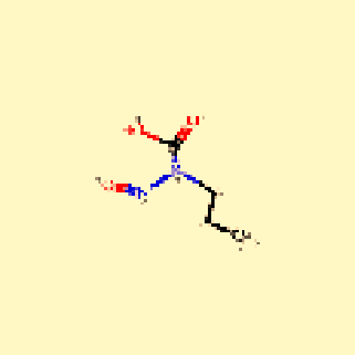 [CH2]CCN(N=O)C(=O)O